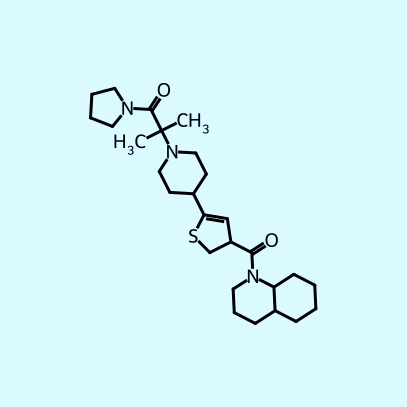 CC(C)(C(=O)N1CCCC1)N1CCC(C2=CC(C(=O)N3CCCC4CCCCC43)CS2)CC1